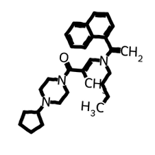 C=C(c1cccc2ccccc12)N(/C=C(\C)C(=O)N1CCN(C2CCCC2)CC1)CCCC